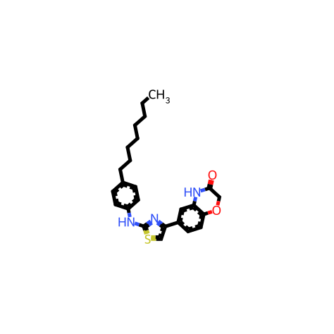 CCCCCCCCc1ccc(Nc2nc(-c3ccc4c(c3)NC(=O)CO4)cs2)cc1